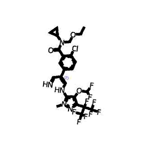 CCOCN(C(=O)c1cc(/C(C=N)=C/Nc2c(OC(F)F)c(C(F)(C(F)(F)F)C(F)(F)F)nn2C)ccc1Cl)C1CC1